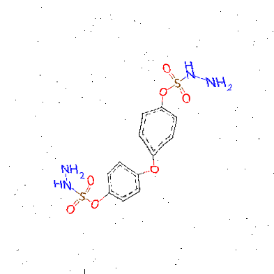 NNS(=O)(=O)Oc1ccc(Oc2ccc(OS(=O)(=O)NN)cc2)cc1